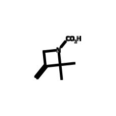 C=C1CN(C(=O)O)C1(C)C